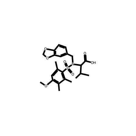 COc1cc(C)c(S(=O)(=O)N(Cc2ccc3c(c2)OCO3)C(C(=O)O)C(C)C)c(C)c1C